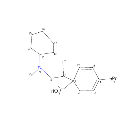 CC(C)C1=CCC(C(=O)O)(C(C)CN(C)C2CCCCC2)C=C1